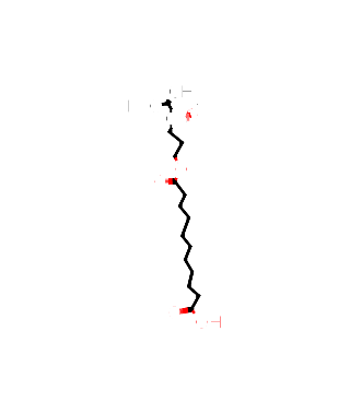 C=[C](C)[Co](=[O])[CH2]CCOC(=O)CCCCCCCCCC(=O)O